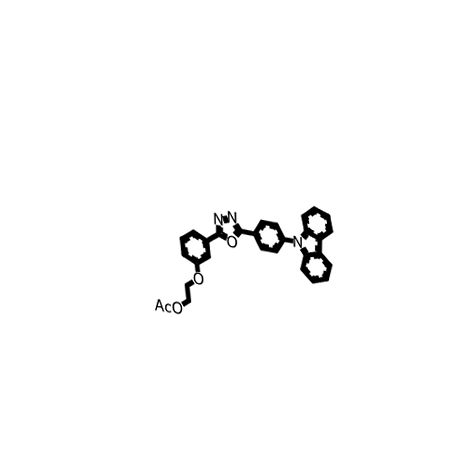 CC(=O)OCCOc1cccc(-c2nnc(-c3ccc(-n4c5ccccc5c5ccccc54)cc3)o2)c1